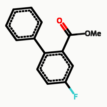 COC(=O)c1cc(F)ccc1-c1ccccc1